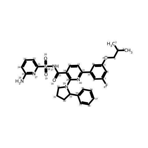 CC(C)COc1cc(F)cc(-c2ccc(C(=O)NS(=O)(=O)c3cccc(N)n3)c(N3CCCC3c3ccccc3)n2)c1